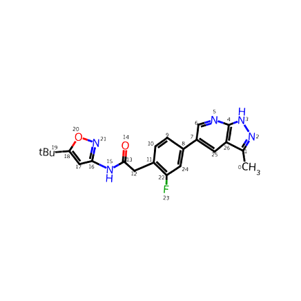 Cc1n[nH]c2ncc(-c3ccc(CC(=O)Nc4cc(C(C)(C)C)on4)c(F)c3)cc12